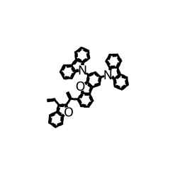 C=Cc1c(C(=C)c2cccc3c2oc2c(-n4c5ccccc5c5ccccc54)cc(-n4c5ccccc5c5ccccc54)cc23)oc2ccccc12